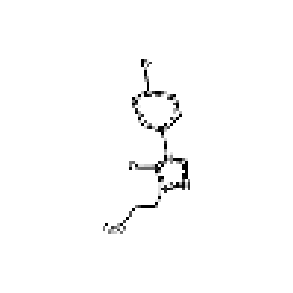 CC(=O)OCCn1ncn(-c2ccc(Br)cc2)c1=O